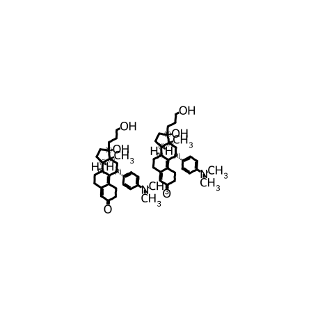 CN(C)c1ccc([C@H]2C[C@]3(C)[C@@H](CC[C@]3(O)CCCO)[C@@H]3CCC4=CC(=O)CCC4=C32)cc1.CN(C)c1ccc([C@H]2C[C@]3(C)[C@@H](CC[C@]3(O)CCCO)[C@@H]3CCC4=CC(=O)CCC4=C32)cc1